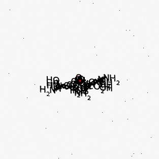 CC1(C)[C@H](NC(=O)/C(=N\O[C@](C)(C(=O)O)[C@H]2CCc3cc(-c4cn(CCCN)c(=N)n4C[C@H](O)CO)ccc3O2)c2csc(N)n2)C(=O)N1OS(=O)(=O)ON1C(=O)[C@@H](NC(=O)/C(=N\O[C@](C)(C(=O)O)[C@H]2CCc3cc(-c4cn(CCCN)c(=N)n4C[C@H](O)CO)ccc3O2)c2csc(N)n2)C1(C)C